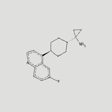 NC1([C@H]2CC[C@H](c3ccnc4ccc(F)cc43)CC2)CC1